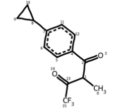 CC(C(=O)c1ccc(C2CC2)cc1)C(=O)C(F)(F)F